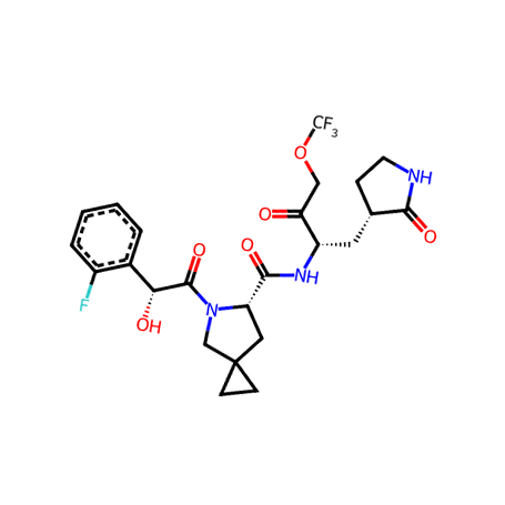 O=C1NCC[C@H]1C[C@H](NC(=O)[C@@H]1CC2(CC2)CN1C(=O)[C@H](O)c1ccccc1F)C(=O)COC(F)(F)F